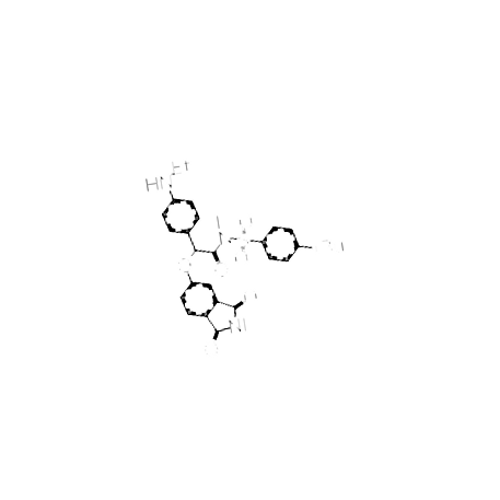 CCNc1ccc(C(Oc2ccc3c(c2)C(=O)NC3=O)C(=O)NS(=O)(=O)c2ccc(C(C)(C)C)cc2)cc1